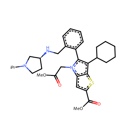 COC(=O)Cn1c(-c2ccccc2CN[C@H]2CCN(C(C)C)C2)c(C2CCCCC2)c2sc(C(=O)OC)cc21